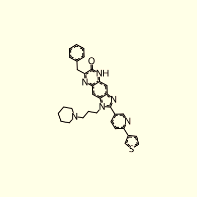 O=c1[nH]c2cc3nc(-c4ccc(-c5ccsc5)nc4)n(CCCN4CCCCC4)c3cc2nc1Cc1ccccc1